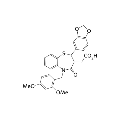 COc1ccc(CN2C(=O)C(CC(=O)O)C(c3ccc4c(c3)OCO4)Sc3ccccc32)c(OC)c1